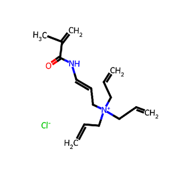 C=CC[N+](CC=C)(CC=C)CC=CNC(=O)C(=C)C.[Cl-]